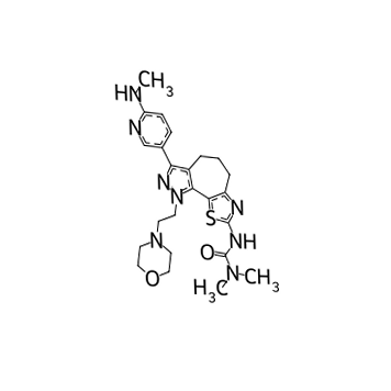 CNc1ccc(-c2nn(CCN3CCOCC3)c3c2CCCc2nc(NC(=O)N(C)C)sc2-3)cn1